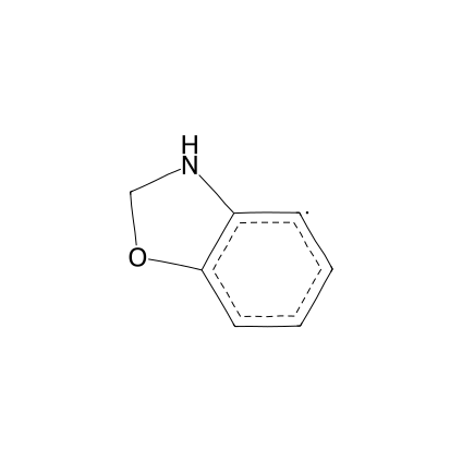 [c]1cccc2c1NCO2